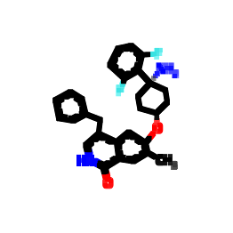 Cc1cc2c(=O)[nH]cc(Cc3ccccc3)c2cc1O[C@H]1CC[C@](N)(c2c(F)cccc2F)CC1